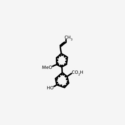 C/C=C/c1ccc(-c2cc(O)ccc2C(=O)O)c(OC)c1